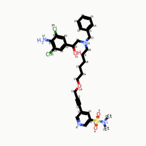 CCN(CC)S(=O)(=O)c1cncc(C#CCOCCCCCCN(Cc2ccccc2)CC(O)c2cc(Cl)c(N)c(Cl)c2)c1